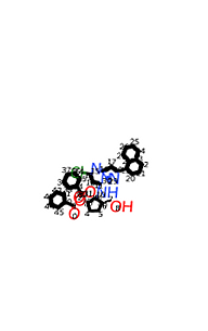 O=C(O[C@H]1CC[C@H](CO)[C@@]1(Nc1cc(Cl)nc2cc(-c3cccc4ccccc34)nn12)OC(=O)c1ccccc1)c1ccccc1